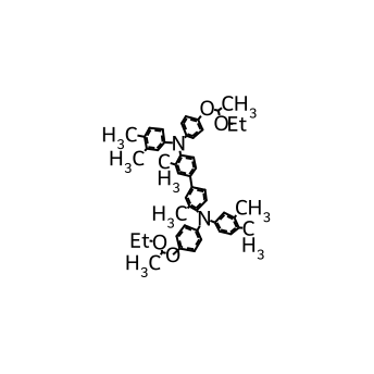 CCOC(C)Oc1ccc(N(c2ccc(C)c(C)c2)c2ccc(-c3ccc(N(c4ccc(OC(C)OCC)cc4)c4ccc(C)c(C)c4)c(C)c3)cc2C)cc1